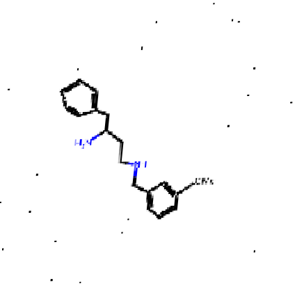 COc1cccc(CNC[CH]C(N)Cc2ccccc2)c1